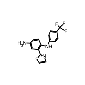 Nc1ccc(Nc2ccc(C(F)(F)F)cc2)c(-c2nccs2)c1